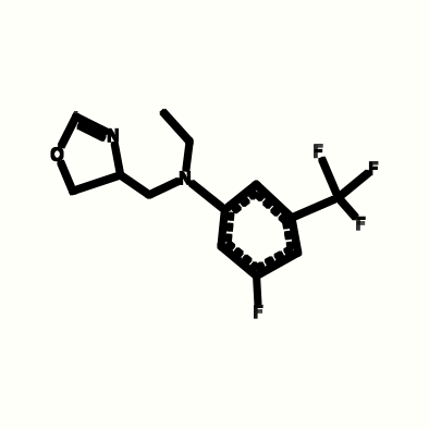 CCN(CC1CO[C]=N1)c1cc(F)cc(C(F)(F)F)c1